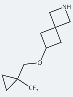 FC(F)(F)C1(COC2CC3(CNC3)C2)CC1